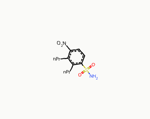 CCCc1c([N+](=O)[O-])ccc(S(N)(=O)=O)c1CCC